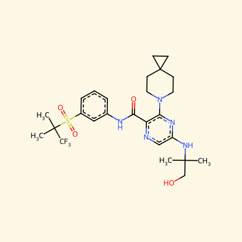 CC(C)(CO)Nc1cnc(C(=O)Nc2cccc(S(=O)(=O)C(C)(C)C(F)(F)F)c2)c(N2CCC3(CC2)CC3)n1